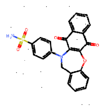 NS(=O)(=O)c1ccc(N2Cc3ccccc3OC3=C2C(=O)c2ccccc2C3=O)cc1